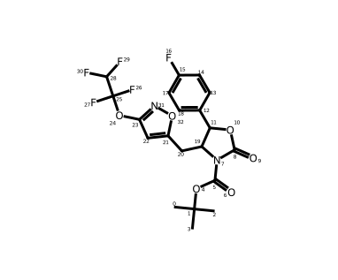 CC(C)(C)OC(=O)N1C(=O)OC(c2ccc(F)cc2)C1Cc1cc(OC(F)(F)C(F)F)no1